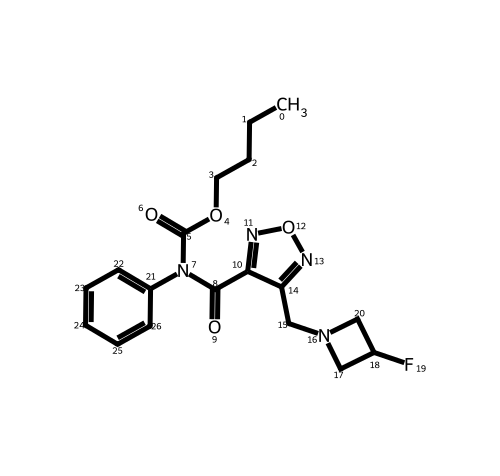 CCCCOC(=O)N(C(=O)c1nonc1CN1CC(F)C1)c1ccccc1